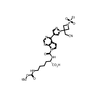 CCS(=O)(=O)N1CC(CC#N)(n2cc(-c3ncnc4c3ccn4C(=O)N[C@@H](CCCCNC(=O)OC(C)(C)C)C(=O)O)cn2)C1